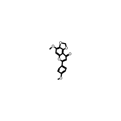 COc1ccc(-c2cc(=O)c3c4c(c(OC)cc3o2)OCO4)cc1